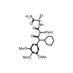 CCCCCN(C(=O)N[C@H](CC)C(N)=O)C(=O)C(c1cc(OC)c(OC)c(OC)c1)C1CCCCC1